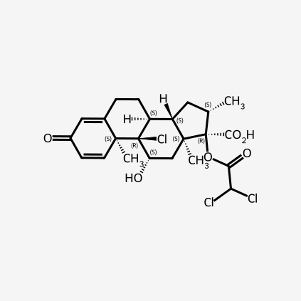 C[C@H]1C[C@H]2[C@@H]3CCC4=CC(=O)C=C[C@]4(C)[C@@]3(Cl)[C@@H](O)C[C@]2(C)[C@@]1(OC(=O)C(Cl)Cl)C(=O)O